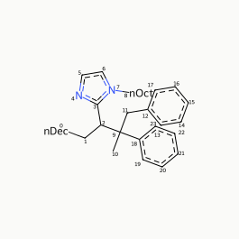 CCCCCCCCCCCC(c1nccn1CCCCCCCC)C(C)(Cc1ccccc1)c1ccccc1